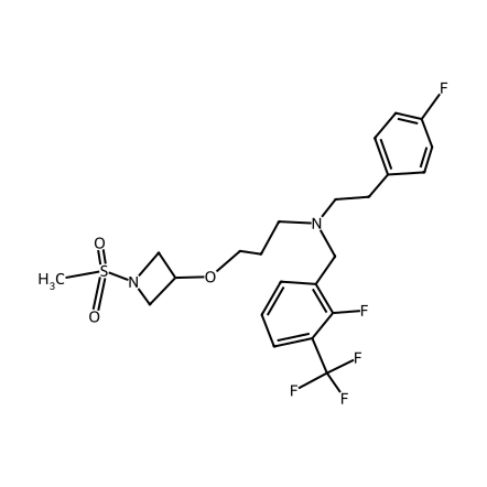 CS(=O)(=O)N1CC(OCCCN(CCc2ccc(F)cc2)Cc2cccc(C(F)(F)F)c2F)C1